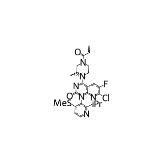 C=CC(=O)N1CCN(c2nc(=O)n(-c3c(SC)ccnc3C(C)C)c3nc(Cl)c(F)cc23)[C@@H](C)C1